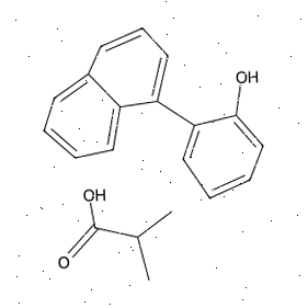 CC(C)C(=O)O.Oc1ccccc1-c1cccc2ccccc12